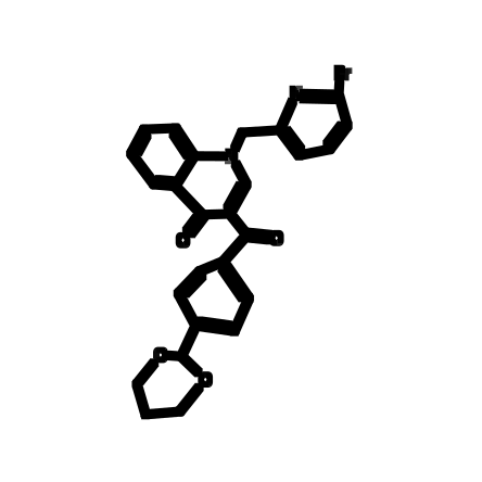 O=C(c1ccc(C2OCCCO2)cc1)c1cn(Cc2cccc(Br)n2)c2ccccc2c1=O